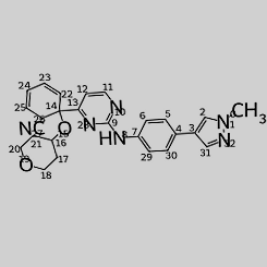 Cn1cc(-c2ccc(Nc3nccc(C4(OC5CCOCC5)C=CC=CC4C#N)n3)cc2)cn1